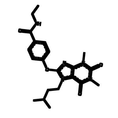 CCNC(=O)c1ccc(Oc2nc3c(c(=O)n(C)c(=O)n3C)n2CCC(C)C)cc1